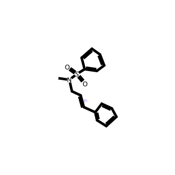 CN(C/C=C/c1ccccc1)S(=O)(=O)c1ccccc1